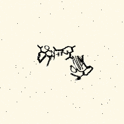 CC1=CC(=C(C)NC(=O)c2c(C(C)C)cccc2C(C)C)NC(=C(C)NC(=O)c2c(C(C)C)cccc2C(C)C)C1